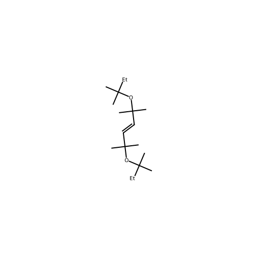 CCC(C)(C)OC(C)(C)C=CC(C)(C)OC(C)(C)CC